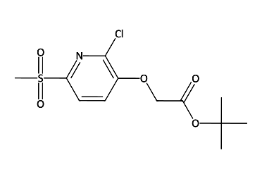 CC(C)(C)OC(=O)COc1ccc(S(C)(=O)=O)nc1Cl